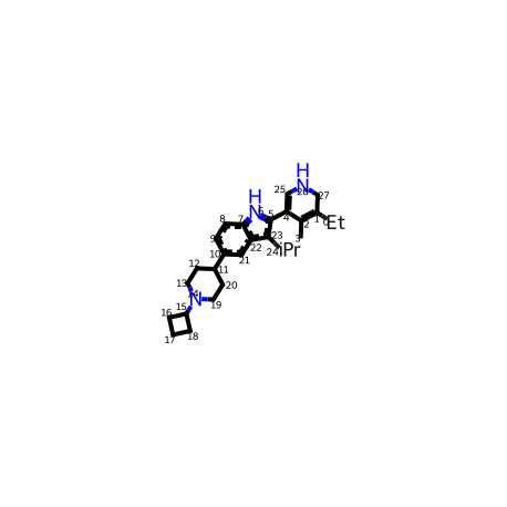 CCC1=C(C)C(c2[nH]c3ccc(C4CCN(C5CCC5)CC4)cc3c2C(C)C)=CNC1